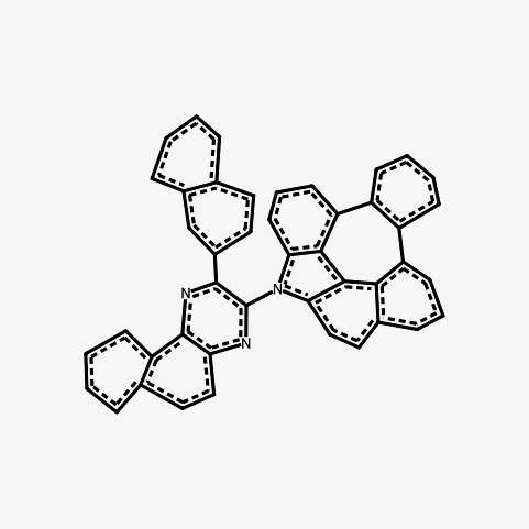 c1ccc2c(c1)-c1cccc3ccc4c(c13)c1c-2cccc1n4-c1nc2ccc3ccccc3c2nc1-c1ccc2ccccc2c1